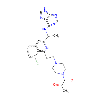 CC(=O)C(=O)N1CCN(CCc2nc(C(C)Nc3ncnc4[nH]cnc34)cc3cccc(Cl)c23)CC1